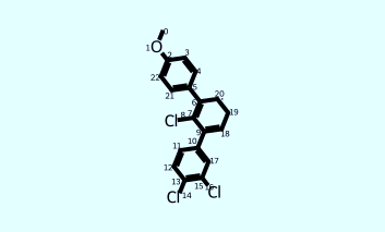 COc1ccc(C2=C(Cl)C(c3ccc(Cl)c(Cl)c3)=CC[CH]2)cc1